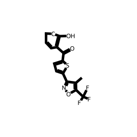 Cc1c(-c2ccc(C(=O)C3=C(O)CCC=C3)s2)noc1C(F)(F)F